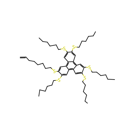 C=CCCCCCCSc1cc2c3cc(SCCCCCC)c(SCCCCCC)cc3c3cc(SCCCCCC)c(SCCCCCC)cc3c2cc1SCCCCCC